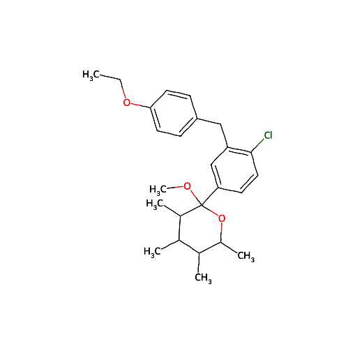 CCOc1ccc(Cc2cc(C3(OC)OC(C)C(C)C(C)C3C)ccc2Cl)cc1